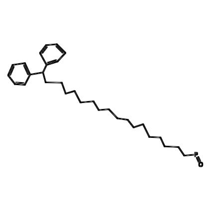 O=PCCCCCCCCCCCCCCCCCC(c1ccccc1)c1ccccc1